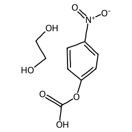 O=C(O)Oc1ccc([N+](=O)[O-])cc1.OCCO